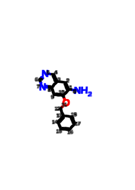 Nc1cc2cncnc2cc1OCc1ccccc1